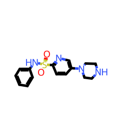 O=S(=O)(Nc1ccccc1)c1ccc(N2CCNCC2)cn1